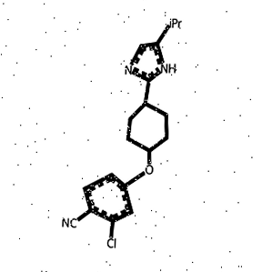 CC(C)c1cnc(C2CCC(Oc3ccc(C#N)c(Cl)c3)CC2)[nH]1